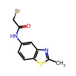 Cc1nc2cc(NC(=O)CBr)ccc2s1